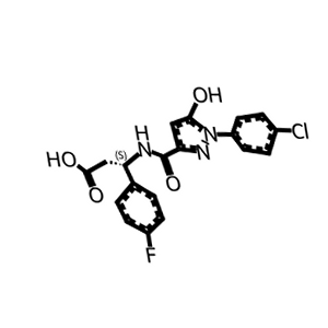 O=C(O)C[C@H](NC(=O)c1cc(O)n(-c2ccc(Cl)cc2)n1)c1ccc(F)cc1